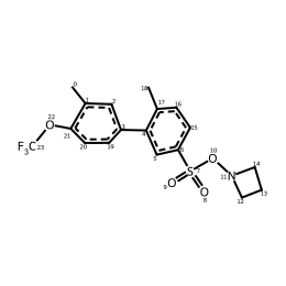 Cc1cc(-c2cc(S(=O)(=O)ON3CCC3)ccc2C)ccc1OC(F)(F)F